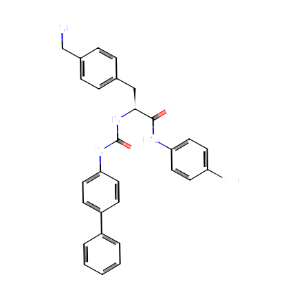 CC(C)(C)c1ccc(NC(=O)[C@H](Cc2ccc(CN)cc2)NC(=O)Nc2ccc(-c3ccccc3)cc2)cc1